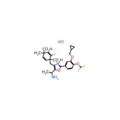 CC(N)c1oc(-c2ccc(OC(F)F)c(OCC3CC3)c2)nc1CC1(C(=O)O)C=CC(C)(C(=O)O)C=C1F.Cl